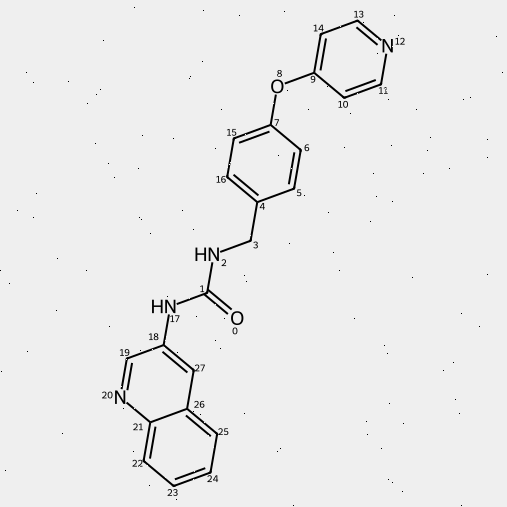 O=C(NCc1ccc(Oc2ccncc2)cc1)Nc1cnc2ccccc2c1